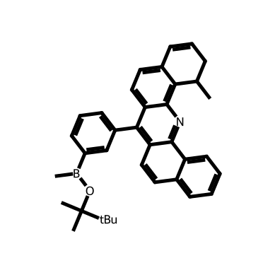 CB(OC(C)(C)C(C)(C)C)c1cccc(-c2c3ccc4c(c3nc3c2ccc2ccccc23)C(C)CC=C4)c1